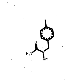 CCCN(Cc1ccc(C)cc1)C(N)=O